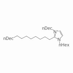 CCCCCCCCCCCCCCCCCCc1n(CCCCCC)cc[n+]1CCCCCCCCCC